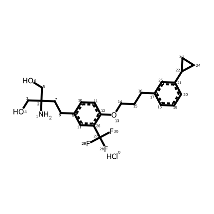 Cl.NC(CO)(CO)CCc1ccc(OCCCc2cccc(C3CC3)c2)c(C(F)(F)F)c1